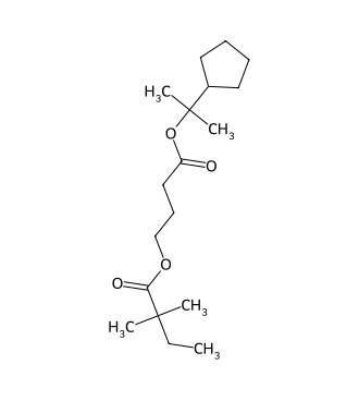 CCC(C)(C)C(=O)OCCCC(=O)OC(C)(C)C1CCCC1